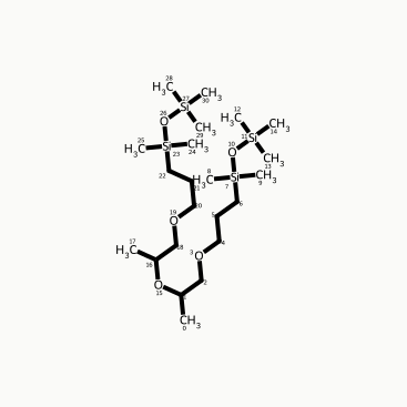 CC(COCCC[Si](C)(C)O[Si](C)(C)C)OC(C)COCCC[Si](C)(C)O[Si](C)(C)C